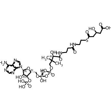 CC(C)(COP(=O)(O)OP(=O)(O)OC[C@H]1O[C@@H](n2cnc3c(N)ncnc32)[C@H](O)[C@@H]1OP(=O)(O)O)[C@@H](O)C(=O)NCCC(=O)NCCSC(=O)CC(O)CC(=O)O